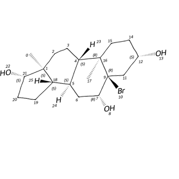 C[C@]12CC[C@H]3[C@@H](C[C@@H](O)[C@@]4(Br)C[C@@H](O)CC[C@]34C)[C@@H]1CC[C@@H]2O